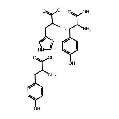 NC(Cc1c[nH]cn1)C(=O)O.NC(Cc1ccc(O)cc1)C(=O)O.NC(Cc1ccc(O)cc1)C(=O)O